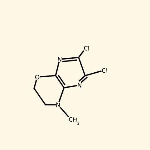 CN1CCOc2nc(Cl)c(Cl)nc21